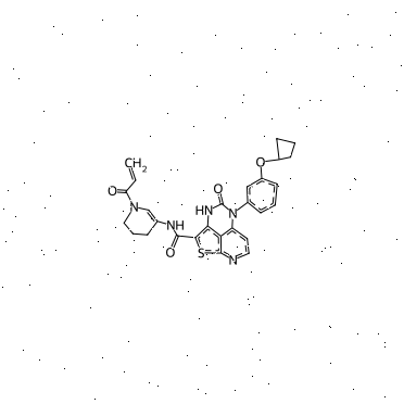 C=CC(=O)N1C=C(NC(=O)c2sc3nccc4c3c2NC(=O)N4c2cccc(OC3CCC3)c2)CCC1